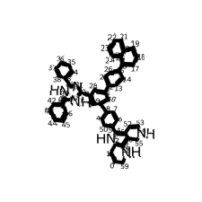 C1=CC2NC(c3ccc(-c4cc(-c5ccc(-c6cccc7ccccc67)cc5)cc(C5N=C(c6ccccc6)NC(c6ccccc6)N5)c4)cc3)=C3C=CNCC3=C2NC1